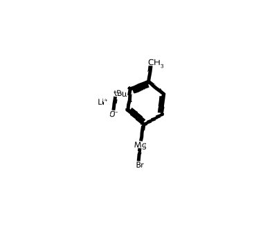 CC(C)(C)[O-].Cc1cc[c]([Mg][Br])cc1.[Li+]